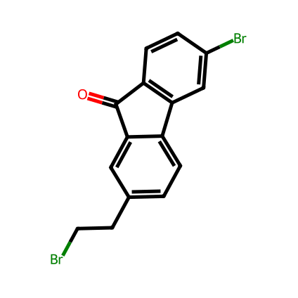 O=C1c2cc(CCBr)ccc2-c2cc(Br)ccc21